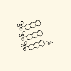 O=S(=O)([O-])c1ccc2cc3ccccc3cc2c1.O=S(=O)([O-])c1ccc2cc3ccccc3cc2c1.O=S(=O)([O-])c1ccc2cc3ccccc3cc2c1.[Fe+3]